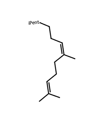 [CH2]CCC(C)CCC=C(C)CCC=C(C)C